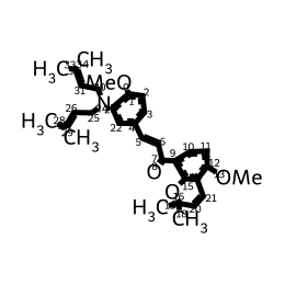 COc1ccc(/C=C/C(=O)c2ccc(OC)c3c2OC(C)(C)C=C3)cc1N(CC=C(C)C)CC=C(C)C